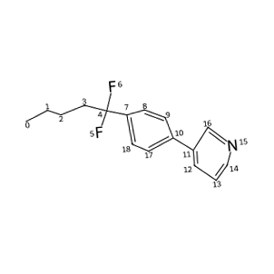 CCCCC(F)(F)c1ccc(-c2cccnc2)cc1